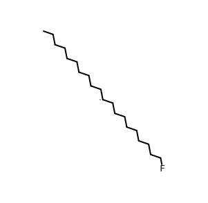 CCCCCCCCCC[CH]CCCCCCCCCF